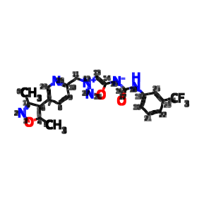 Cc1noc(C)c1-c1ccc(C[n+]2cc([N-]C(=O)Nc3cccc(C(F)(F)F)c3)on2)nc1